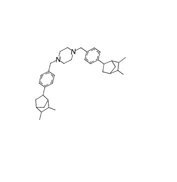 CC1C2CC(c3ccc(CN4CCN(Cc5ccc(C6CC7CC6C(C)C7C)cc5)CC4)cc3)C(C2)C1C